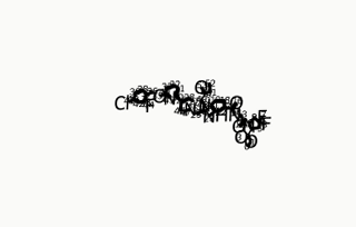 COC(=O)[C@@H]1CC(F)(F)CN1C(=O)CNC(=O)c1ccc2c(c1)nc(CN1CC=C(c3cccc(OCc4ccc(Cl)cc4F)n3)CC1)n2C[C@@H]1CCO1